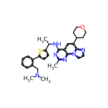 Cc1nc(N[C@H](C)c2ccc(-c3ccccc3CN(C)C)s2)c2cc(C3CCOCC3)c3nccn3c2n1